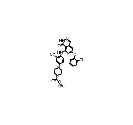 CC(C)(C)OC(=O)N1CCN(c2ccc(Nc3nc(Oc4ccccc4Cl)cc4cn[nH]c(=O)c34)c(C#N)c2)CC1